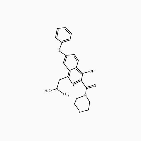 CN(C)Cc1nc(C(=O)N2CCOCC2)c(O)c2ccc(Oc3ccccc3)cc12